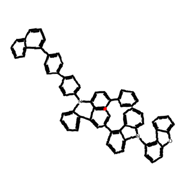 c1ccc(-c2ccc(N(c3ccc(-c4ccc(-c5cccc6ccccc56)cc4)cc3)c3ccccc3-c3cccc(-c4cccc5c4c4ccccc4n5-c4cccc5oc6ccccc6c45)c3)cc2)cc1